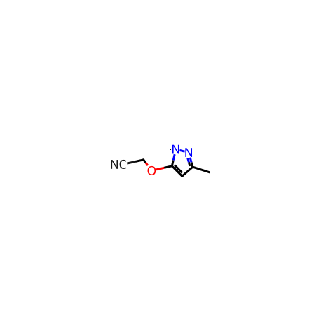 CC1=N[N]C(OCC#N)=C1